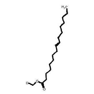 CCCCCCC/C=C/CCCCCCCC(=O)OCCl